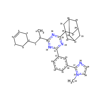 CC(CC1CC=CCC1)c1nc(-c2cccc(-c3nccn3C)c2)nc(C23CC4CC(CC(C4)C2)C3)n1